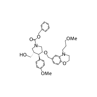 COCCCN1CCOc2ccc(CO[C@H]3CN(C(=O)OCc4ccccc4)C[C@@H](CO)[C@@H]3c3ccc(OC)cc3)cc21